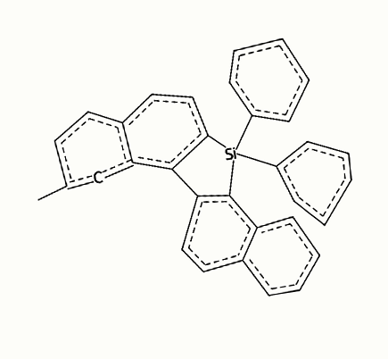 Cc1ccc2ccc3c(c2c1)-c1ccc2ccccc2c1[Si]3(c1ccccc1)c1ccccc1